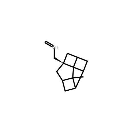 C=[SH]C[C@@]12CC3CC4C5CC(C1)C52C34C